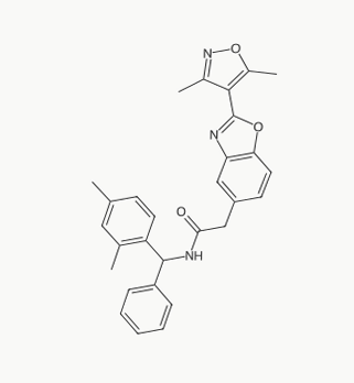 Cc1ccc(C(NC(=O)Cc2ccc3oc(-c4c(C)noc4C)nc3c2)c2ccccc2)c(C)c1